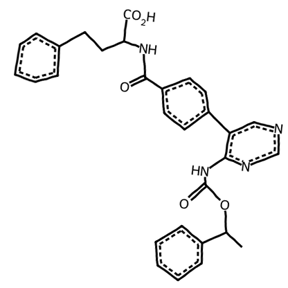 CC(OC(=O)Nc1ncncc1-c1ccc(C(=O)NC(CCc2ccccc2)C(=O)O)cc1)c1ccccc1